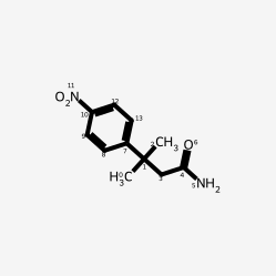 CC(C)(CC(N)=O)c1ccc([N+](=O)[O-])cc1